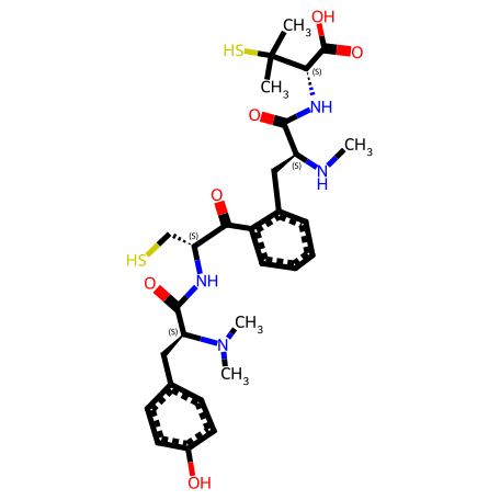 CN[C@@H](Cc1ccccc1C(=O)[C@@H](CS)NC(=O)[C@H](Cc1ccc(O)cc1)N(C)C)C(=O)N[C@@H](C(=O)O)C(C)(C)S